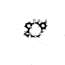 O=C1Nc2cccc(n2)-c2nncn2CCCCOc2ccc(F)cc21